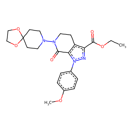 CCOC(=O)c1nn(-c2ccc(OC)cc2)c2c1CCN(N1CCC3(CC1)OCCO3)C2=O